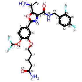 C[C@H](N)c1oc(-c2ccc(OC(F)F)c(OCCCCC(N)=O)c2)nc1C(=O)NCc1ccc(F)cc1F